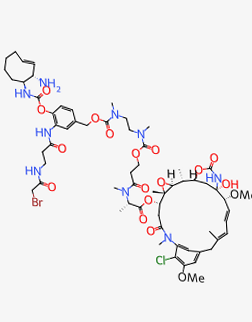 COc1cc2cc(c1Cl)N(C)C(=O)C[C@H](OC(=O)[C@H](C)N(C)C(=O)CCOC(=O)N(C)CCN(C)C(=O)OCc1ccc(OC(=O)N[C@H]3CCCC/C=C/[C@@H]3N)c(NC(=O)CCNC(=O)CBr)c1)[C@]1(C)O[C@H]1[C@H](C)[C@@H]1C[C@@](O)(NC(=O)O1)[C@H](OC)/C=C/C=C(\C)C2